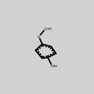 CC(=O)Oc1ccc(OC=O)cc1